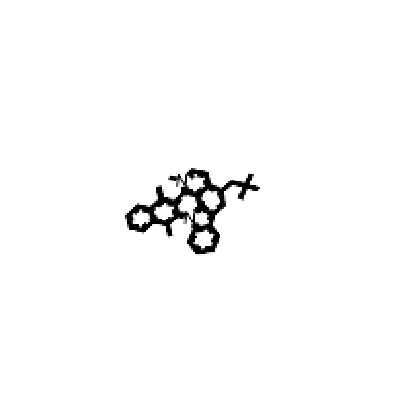 Cc1c2ccccc2c(C)c2c1c1c3c(cc[n+]1C)c(CC(C)(C)C)cc1c4ccccc4n2c13